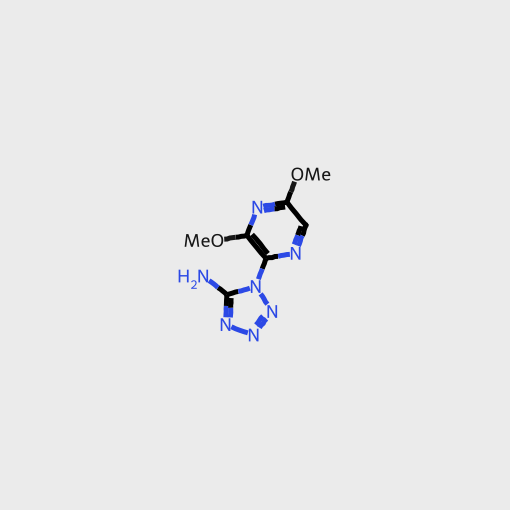 COc1cnc(-n2nnnc2N)c(OC)n1